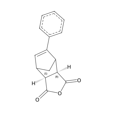 O=C1OC(=O)[C@H]2C3C=C(c4ccccc4)C(C3)[C@@H]12